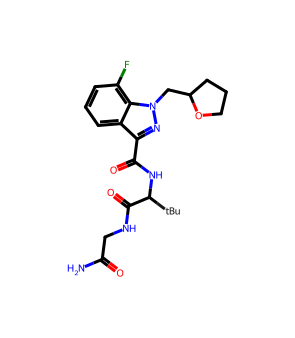 CC(C)(C)C(NC(=O)c1nn(CC2CCCO2)c2c(F)cccc12)C(=O)NCC(N)=O